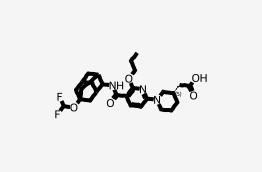 CCCOc1nc(N2CCC[C@@H](CC(=O)O)C2)ccc1C(=O)NC1C2CC3CC1CC(OC(F)F)(C3)C2